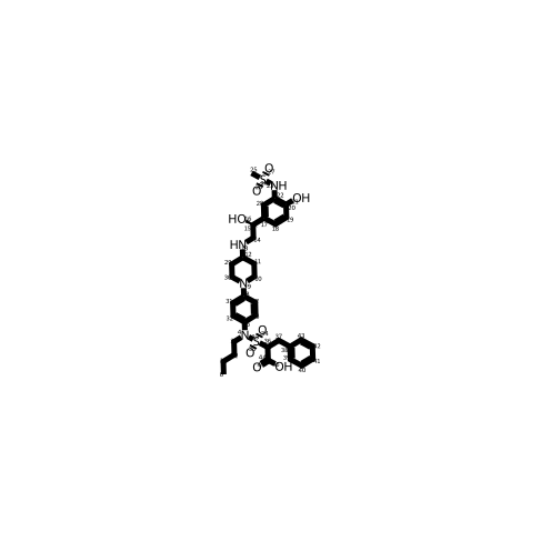 CCCCN(c1ccc(N2CCC(NC[C@@H](O)c3ccc(O)c(NS(C)(=O)=O)c3)CC2)cc1)S(=O)(=O)C(Cc1ccccc1)C(=O)O